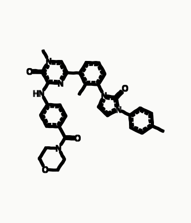 Cc1ccc(-n2ccn(-c3cccc(-c4cn(C)c(=O)c(Nc5ccc(C(=O)N6CCOCC6)cc5)n4)c3C)c2=O)cc1